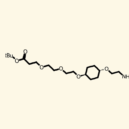 CC(C)(C)OC(=O)CCOCCOCCO[C@H]1CC[C@H](OCCN)CC1